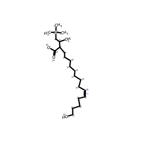 C[N+](C)(C)CC(O)C(CCCCCCCC/C=C\CCCCO)C(=O)[O-]